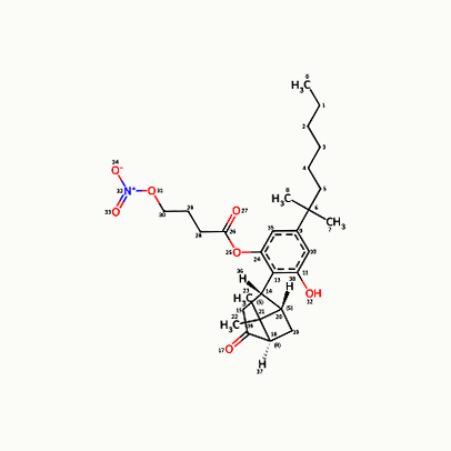 CCCCCCC(C)(C)c1cc(O)c([C@H]2CC(=O)[C@@H]3C[C@@H]2C3(C)C)c(OC(=O)CCCO[N+](=O)[O-])c1